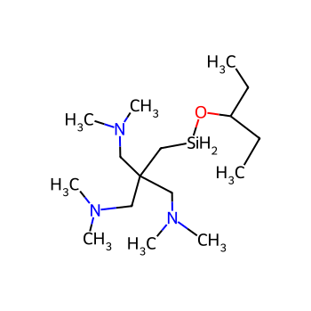 CCC(CC)O[SiH2]CC(CN(C)C)(CN(C)C)CN(C)C